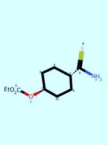 CCOC(=O)O[C@H]1CC[C@H](C(N)=S)CC1